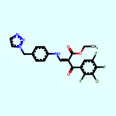 CCOC(=O)C(=CNc1ccc(Cn2ccnn2)cc1)C(=O)c1cc(F)c(F)c(Cl)c1F